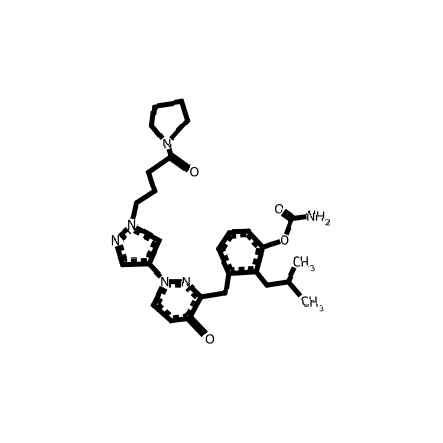 CC(C)Cc1c(Cc2nn(-c3cnn(CCCC(=O)N4CCCC4)c3)ccc2=O)cccc1OC(N)=O